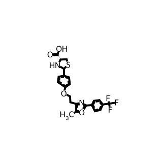 Cc1oc(-c2ccc(C(F)(F)F)cc2)nc1CCOc1ccc(C2N[C@H](C(=O)O)CS2)cc1